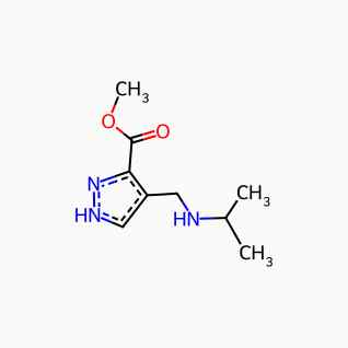 COC(=O)c1n[nH]cc1CNC(C)C